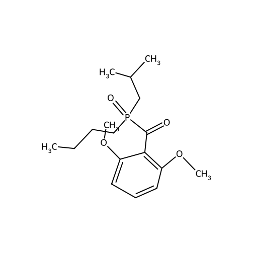 CCCCP(=O)(CC(C)C)C(=O)c1c(OC)cccc1OC